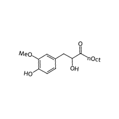 CCCCCCCCC(=O)C(O)Cc1ccc(O)c(OC)c1